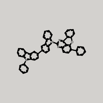 c1ccc(-c2ccc3nc(-n4c5ccccc5c5cc(-c6ccc7c(c6)c6ccccc6n7-c6ccccc6)ccc54)nc4c3c2Oc2ccccc2-4)cc1